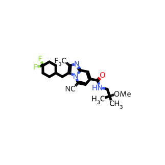 COC(C)(C)CNC(=O)c1cc(C#N)n2c(CC3CCC(F)(F)CC3)c(C(F)(F)F)nc2c1